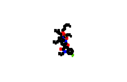 C=C[C@@H](CN(c1nc2oc(-c3ccc(F)cc3)c(C(=O)NC)c2cc1C(=C)C)S(C)(=O)=O)OCCCC